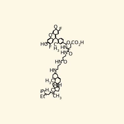 CC[C@H](CC[C@@H](C)C1CC[C@H]2[C@@H]3CC=C4C[C@@H](NCCCNC(=O)CCNC(=O)[C@H](CCC(=O)O)NC(=O)c5ccc(-c6c7cc(F)c(=O)cc-7oc7cc(O)c(F)cc67)c(C)c5)CCC4(C)C3CCC12C)C(C)C